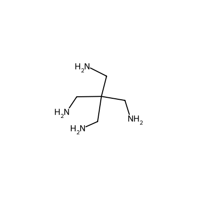 NCC(CN)(CN)CN